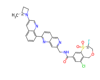 C[C@@H]1CCN1c1cnc2c(-c3ccc4cnc(CNC(=O)c5cc(Cl)c6c(c5)S(=O)(=O)[C@@H](F)COC6)cc4n3)cccc2c1